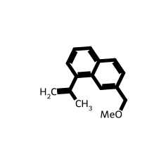 C=C(C)c1cccc2ccc(COC)cc12